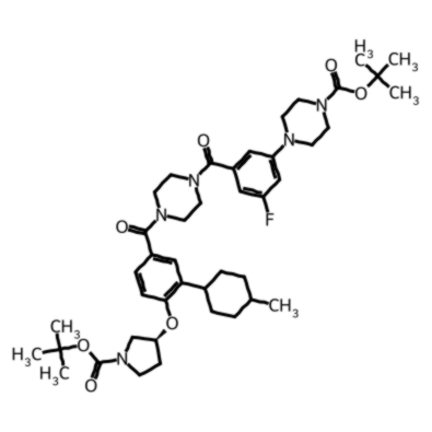 CC1CCC(c2cc(C(=O)N3CCN(C(=O)c4cc(F)cc(N5CCN(C(=O)OC(C)(C)C)CC5)c4)CC3)ccc2O[C@H]2CCN(C(=O)OC(C)(C)C)C2)CC1